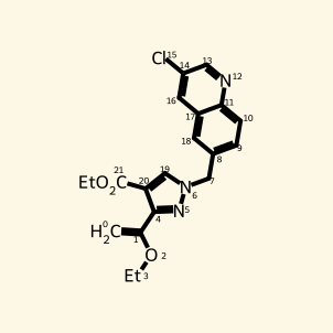 C=C(OCC)c1nn(Cc2ccc3ncc(Cl)cc3c2)cc1C(=O)OCC